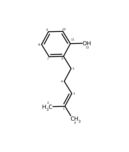 CC(C)=CCCc1ccccc1O